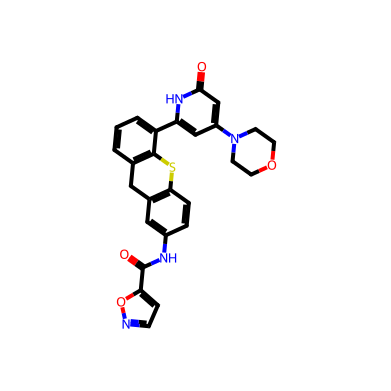 O=C(Nc1ccc2c(c1)Cc1cccc(-c3cc(N4CCOCC4)cc(=O)[nH]3)c1S2)c1ccno1